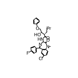 CC(C)C[C@@H](C(=O)NC1N=C(c2ccc(F)cc2)c2cc(Cl)ccc2N(C)C1=O)C(O)COc1ccccc1